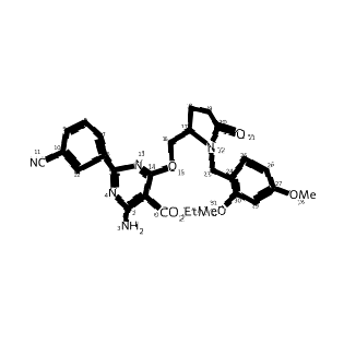 CCOC(=O)c1c(N)nc(-c2cccc(C#N)c2)nc1OCC1CCC(=O)N1Cc1ccc(OC)cc1OC